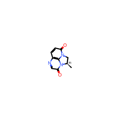 C[C@@H]1Cn2c(=O)ccc3ncc(=O)n1c32